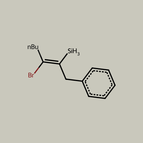 CCCCC(Br)=C([SiH3])Cc1ccccc1